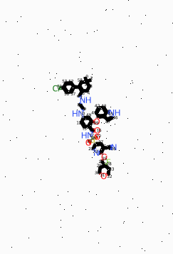 CC1(C)CCC(CNCCNc2ccc(C(=O)NS(=O)(=O)c3cnc(OCC4(F)CCOCC4)c(C#N)c3)c(Oc3cccc4[nH]ccc34)c2)=C(c2ccc(Cl)cc2)C1